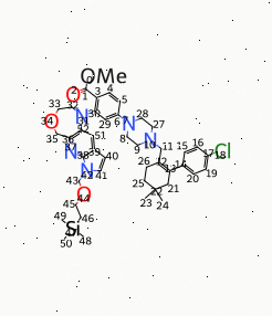 COC(=O)c1ccc(N2CCN(CC3=C(c4ccc(Cl)cc4)CC(C)(C)CC3)CC2)cc1N1CCOCc2nc3c(ccn3COCC[Si](C)(C)C)cc21